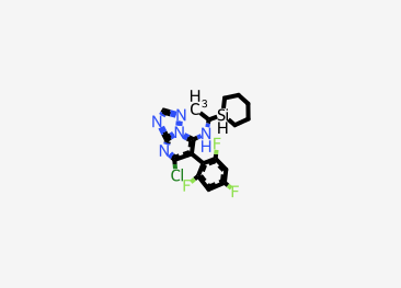 CC(Nc1c(-c2c(F)cc(F)cc2F)c(Cl)nc2ncnn12)[SiH]1CCCCC1